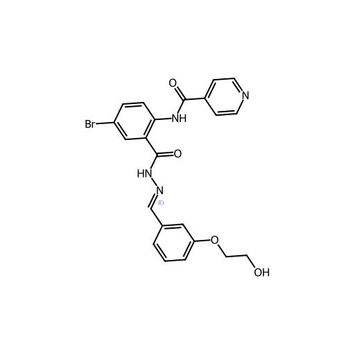 O=C(Nc1ccc(Br)cc1C(=O)N/N=C/c1cccc(OCCO)c1)c1ccncc1